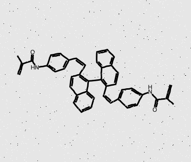 C=C(C)C(=O)Nc1ccc(/C=C\c2ccc3ccccc3c2-c2c(/C=C\c3ccc(NC(=O)C(=C)C)cc3)ccc3ccccc23)cc1